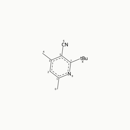 Cc1cc(C)c(C#N)c(C(C)(C)C)n1